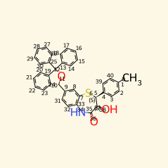 Cc1ccc([C@@H]2Sc3cc(COC(c4ccccc4)(c4ccccc4)c4ccccc4)ccc3NC(=O)[C@@H]2O)cc1